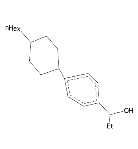 CCCCCCC1CCC(c2ccc(C(O)CC)cc2)CC1